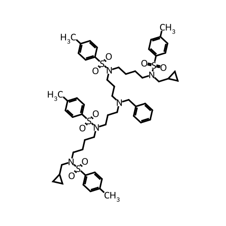 Cc1ccc(S(=O)(=O)N(CCCCN(CC2CC2)S(=O)(=O)c2ccc(C)cc2)CCCN(CCCN(CCCCN(CC2CC2)S(=O)(=O)c2ccc(C)cc2)S(=O)(=O)c2ccc(C)cc2)Cc2ccccc2)cc1